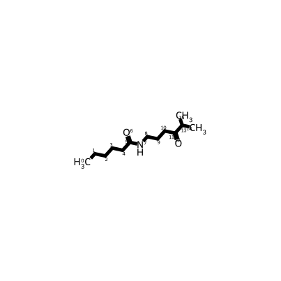 CCCCCC(=O)NCCCC(=O)C(C)C